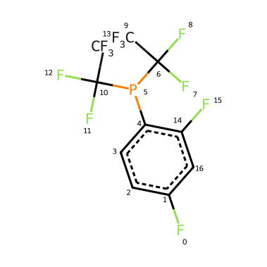 Fc1ccc(P(C(F)(F)C(F)(F)F)C(F)(F)C(F)(F)F)c(F)c1